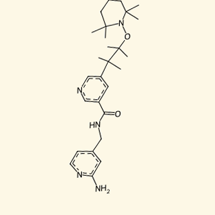 CC1(C)CCCC(C)(C)N1OC(C)(C)C(C)(C)c1cncc(C(=O)NCc2ccnc(N)c2)c1